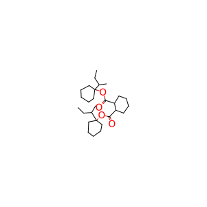 CCC(C)C1(OC(=O)C2CCCCC2C(=O)OC2(C(C)CC)CCCCC2)CCCCC1